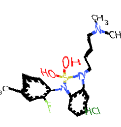 Cc1ccc(N2c3ccccc3N(CC=CCN(C)C)S2(O)O)c(F)c1.Cl